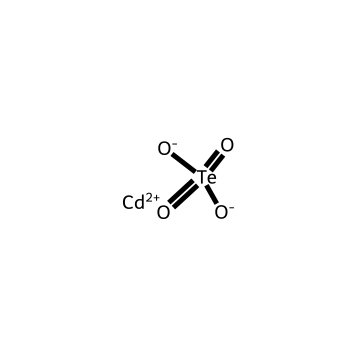 O=[Te](=O)([O-])[O-].[Cd+2]